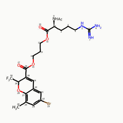 CC(=O)N[C@@H](CCCNC(=N)N)C(=O)OCCCOC(=O)C1=Cc2cc(Br)cc(C)c2OC1C(F)(F)F